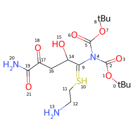 CC(C)(C)OC(=O)N(C(=O)OC(C)(C)C)C(=[SH]CCN)C(O)CC(=O)C(N)=O